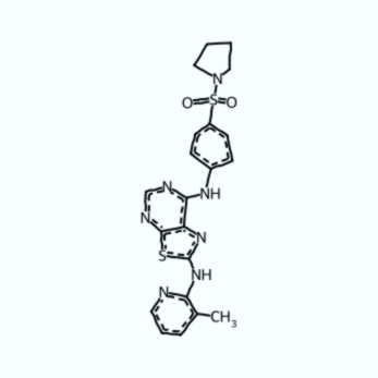 Cc1cccnc1Nc1nc2c(Nc3ccc(S(=O)(=O)N4CCCC4)cc3)ncnc2s1